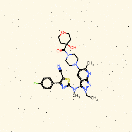 CCn1nc2nc(C)c(N3CCN(C(=O)C4(O)CCOCC4)CC3)cc2c1N(C)c1nc(-c2ccc(F)cc2)c(C#N)s1